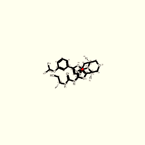 C[C@H](CO)NC(=O)Nc1nc2c(s1)[C@@H]1COC[C@H](C2)N1c1ncc(-c2cccc(OC(F)F)c2)o1